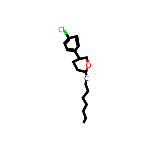 CCCCCCCCC1CCC(c2ccc(Cl)cc2)CO1